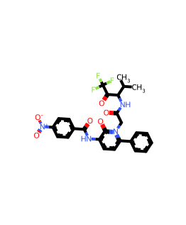 CC(C)C(NC(=O)Cn1c(-c2ccccc2)ccc(NC(=O)c2ccc([N+](=O)[O-])cc2)c1=O)C(=O)C(F)(F)F